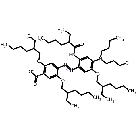 CCCCC(CC)COc1cc([N+](=O)[O-])c(OCC(CC)CCCC)cc1/N=N/c1cc(OCC(CC)CCCC)c(N(CCCC)CCCC)cc1NC(=O)C(CC)CCCC